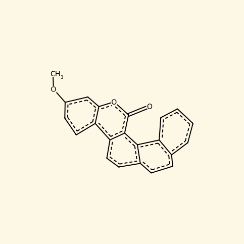 COc1ccc2c(c1)oc(=O)c1c2ccc2ccc3ccccc3c21